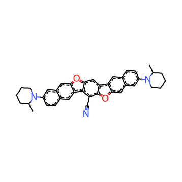 CC1CCCCN1c1ccc2cc3c(cc2c1)oc1c(C#N)c2c(cc13)oc1cc3cc(N4CCCCC4C)ccc3cc12